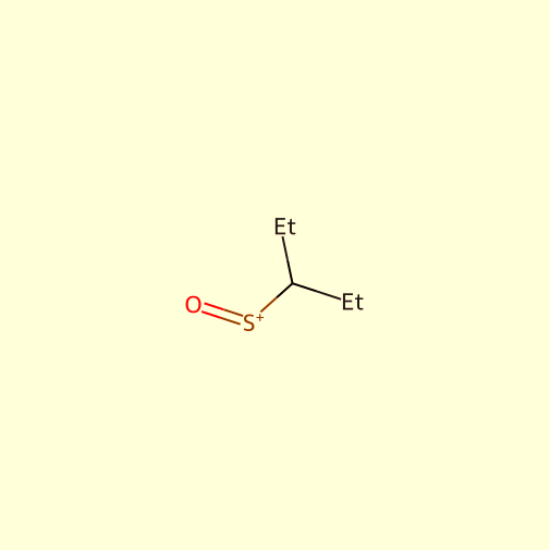 CCC(CC)[S+]=O